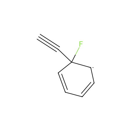 C#CC1(F)[CH]C=CC=C1